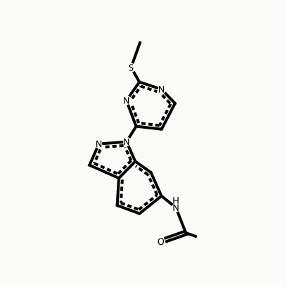 CSc1nccc(-n2ncc3ccc(NC(C)=O)cc32)n1